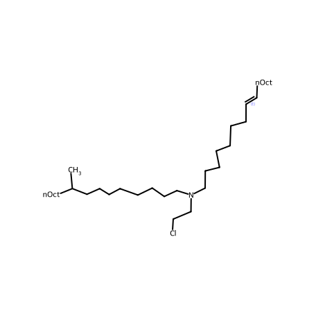 CCCCCCCC/C=C/CCCCCCCN(CCCl)CCCCCCCCC(C)CCCCCCCC